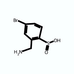 NCc1cc(Br)ccc1S(=O)O